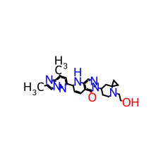 Cc1cn2nc(C3C=Cc4c(cnn(C5CCN(CCO)C6(CC6)C5)c4=O)N3)cc(C)c2n1